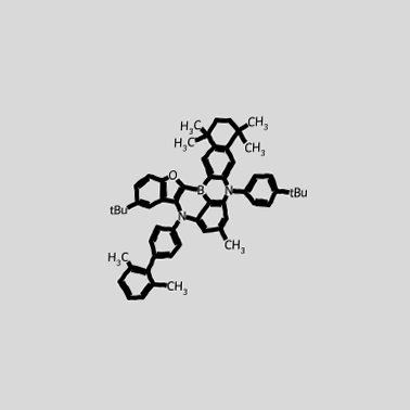 Cc1cc2c3c(c1)N(c1ccc(-c4c(C)cccc4C)cc1)c1c(oc4ccc(C(C)(C)C)cc14)B3c1cc3c(cc1N2c1ccc(C(C)(C)C)cc1)C(C)(C)CCC3(C)C